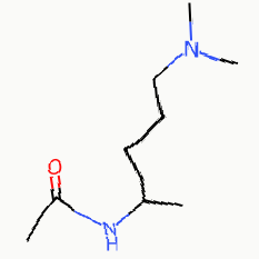 CC(=O)NC(C)CCCN(C)C